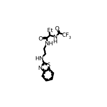 CCC(NC(=O)C(F)(F)F)C(=O)NCCNc1nc2ccccc2s1